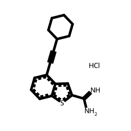 Cl.N=C(N)c1cc2c(C#CC3CCCCC3)cccc2s1